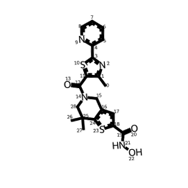 Cc1nc(-c2ccccn2)sc1C(=O)N1Cc2cc(C(=O)NO)sc2C(C)(C)C1